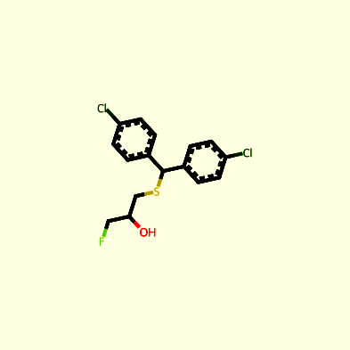 OC(CF)CSC(c1ccc(Cl)cc1)c1ccc(Cl)cc1